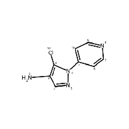 Nc1cnn(-c2ccncc2)c1Cl